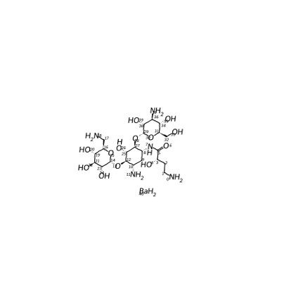 NCC[C@H](O)C(=O)N[C@@H]1C[C@H](N)[C@@H](O[C@H]2O[C@H](CN)[C@@H](O)[C@H](O)[C@H]2O)[C@H](O)[C@H]1O[C@H]1O[C@H](CO)[C@@H](O)[C@H](N)[C@H]1O.[BaH2]